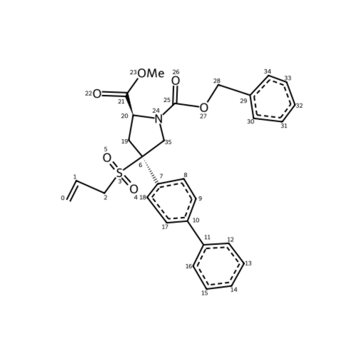 C=CCS(=O)(=O)[C@@]1(c2ccc(-c3ccccc3)cc2)C[C@@H](C(=O)OC)N(C(=O)OCc2ccccc2)C1